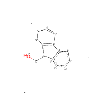 OCC1C2=C(C=CCC2)c2ccccc21